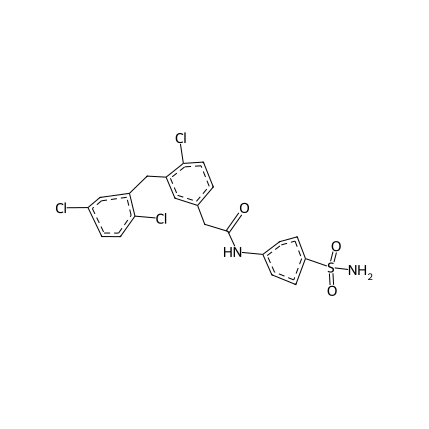 NS(=O)(=O)c1ccc(NC(=O)Cc2ccc(Cl)c(Cc3cc(Cl)ccc3Cl)c2)cc1